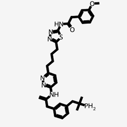 C=C(Cc1cccc(CC(C)(C)P)c1)Nc1ccc(CCCCc2nnc(NC(=O)Cc3cccc(OC)c3)s2)nn1